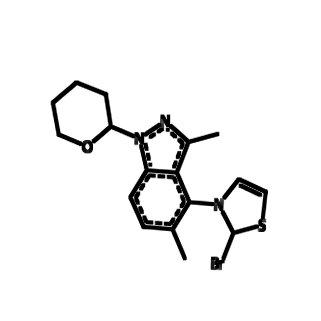 Cc1ccc2c(c(C)nn2C2CCCCO2)c1N1C=CSC1Br